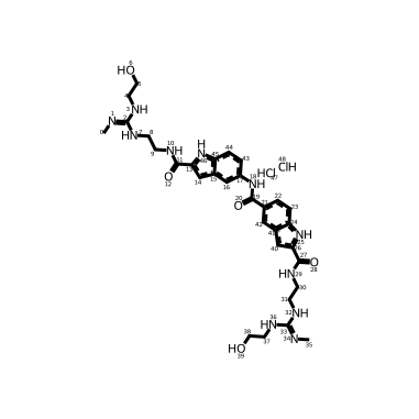 C/N=C(/NCCO)NCCNC(=O)c1cc2cc(NC(=O)c3ccc4[nH]c(C(=O)NCCN/C(=N\C)NCCO)cc4c3)ccc2[nH]1.Cl.Cl